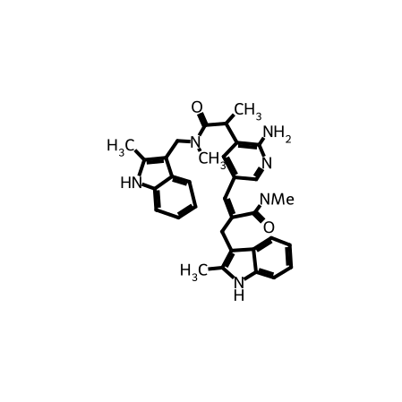 CNC(=O)C(=Cc1cnc(N)c(C(C)C(=O)N(C)Cc2c(C)[nH]c3ccccc23)c1)Cc1c(C)[nH]c2ccccc12